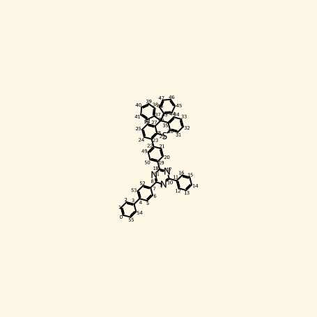 c1ccc(-c2ccc(-c3nc(-c4ccccc4)nc(-c4ccc(-c5cccc6c5Sc5ccccc5C6(c5ccccc5)c5ccccc5)cc4)n3)cc2)cc1